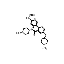 CCCCNc1ncc2c3ccc(CN4CCN(C)CC4)cc3c(=O)n(C3CCC(O)CC3)c2n1